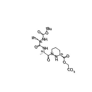 CC(C)[C@@H](NC(=O)OC(C)(C)C)C(=O)N[C@@H](C)C(=O)N1CCC[C@@H](C(=O)OCC(Cl)(Cl)Cl)N1